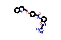 O=C(Nc1cccc2nc(-c3nnn[nH]3)oc12)c1ccc(OCc2ccc3ccccc3n2)cc1